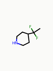 CC(F)(F)C1CCNCC1